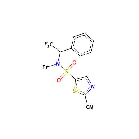 CCN(C(c1ccccc1)C(F)(F)F)S(=O)(=O)c1cnc(C#N)s1